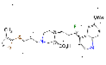 COc1ccc2nccc([C@@H](F)CC[C@@H]3CCN(CCCSc4sccc4C)C[C@@H]3C(=O)O)c2c1